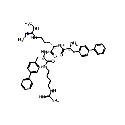 C/N=C(/NC)NCCC[C@H](NC(=O)[C@@H](N)Cc1ccc(-c2ccccc2)cc1)C(=O)N[C@@H](Cc1ccc(-c2ccccc2)cc1)C(=O)NCCCCNC(=N)N